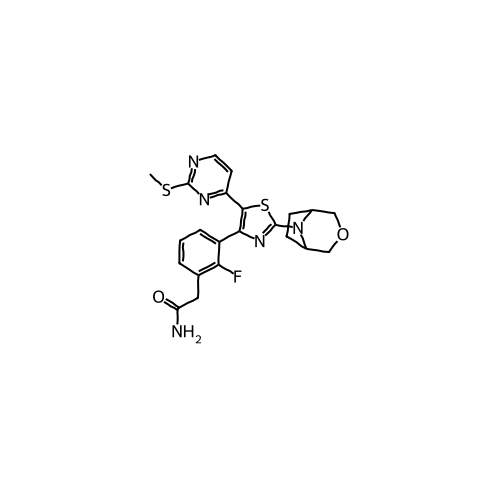 CSc1nccc(-c2sc(N3C4CCC3COC4)nc2-c2cccc(CC(N)=O)c2F)n1